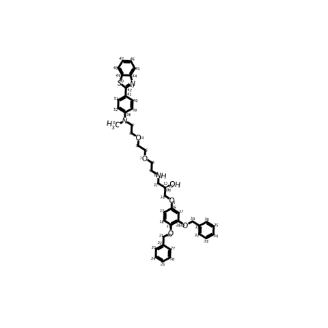 CN(CCOCCOCCNC[C@@H](O)COc1ccc(OCc2ccccc2)c(OCc2ccccc2)c1)c1ccc(-c2nc3ccccc3s2)cc1